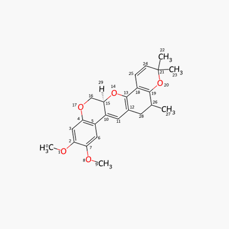 COc1cc2c(cc1OC)C1=CC3=C(O[C@@H]1CO2)C1=C(OC(C)(C)C=C1)C(C)C3